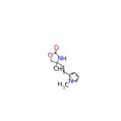 Cn1cccc1C=CC1(C)COC(=O)N1